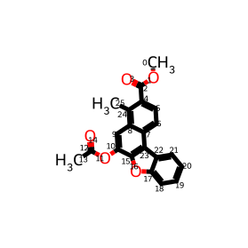 COC(=O)c1ccc2c(cc(OC(C)=O)c3oc4ccccc4c32)c1C